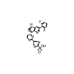 CC1(C)[C@H]2CC[C@]1(c1ccnc(-c3cnc(C4(O)COC4)nc3)n1)c1nnc(-c3c(F)cccc3F)cc12